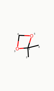 CC1(C)OCO1